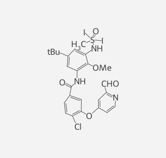 COc1c(NC(=O)c2ccc(Cl)c(Oc3ccnc(C=O)c3)c2)cc(C(C)(C)C)cc1NS(C)(=O)(I)I